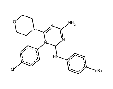 CCCCc1ccc(NC2N=C(N)N=C(N3CCOCC3)N2c2ccc(Cl)cc2)cc1